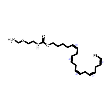 CC/C=C\C/C=C\C/C=C\C/C=C\C/C=C\CCCCOC(=O)NCCSCP